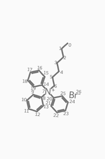 CCCCCCC[N+](c1ccccc1)(c1ccccc1)c1ccccc1.[Br-]